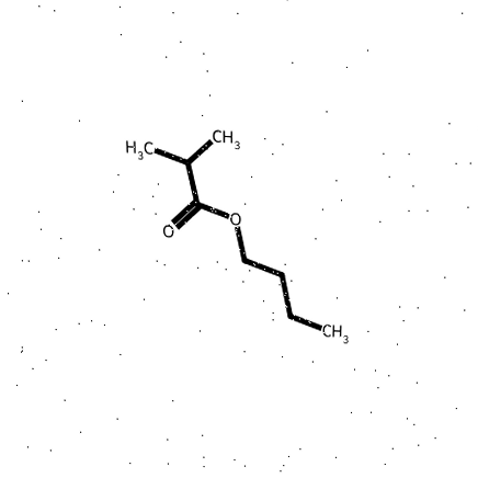 CCCCOC(=O)C(C)C